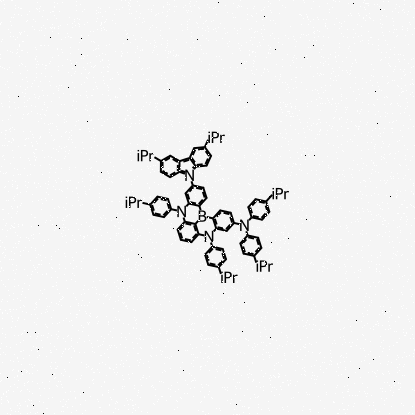 CC(C)c1ccc(N(c2ccc(C(C)C)cc2)c2ccc3c(c2)N(c2ccc(C(C)C)cc2)c2cccc4c2B3c2ccc(-n3c5ccc(C(C)C)cc5c5cc(C(C)C)ccc53)cc2N4c2ccc(C(C)C)cc2)cc1